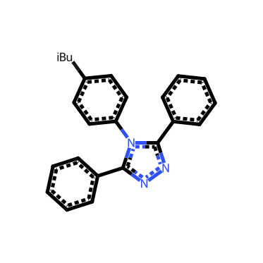 CCC(C)c1ccc(-n2c(-c3ccccc3)nnc2-c2ccccc2)cc1